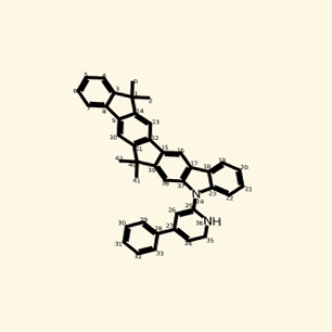 CC1(C)c2ccccc2-c2cc3c(cc21)-c1cc2c4ccccc4n(C4=CC(c5ccccc5)=CCN4)c2cc1C3(C)C